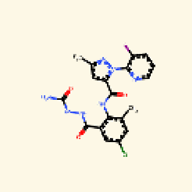 Cc1cc(Cl)cc(C(=O)NNC(N)=O)c1NC(=O)c1cc(C(F)(F)F)nn1-c1ncccc1I